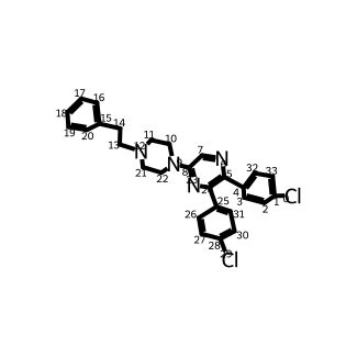 Clc1ccc(-c2ncc(N3CCN(CCc4ccccc4)CC3)nc2-c2ccc(Cl)cc2)cc1